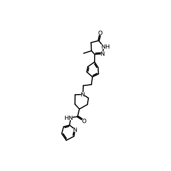 CC1CC(=O)NN=C1c1ccc(CCN2CCC(C(=O)Nc3ccccn3)CC2)cc1